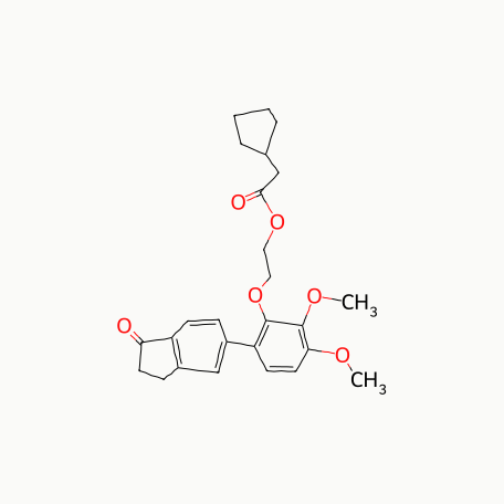 COc1ccc(-c2ccc3c(c2)CCC3=O)c(OCCOC(=O)CC2CCCC2)c1OC